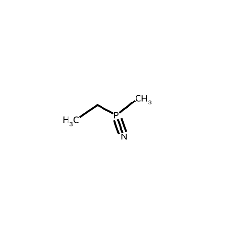 CCP(C)#N